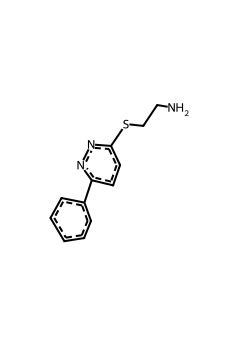 NCCSc1ccc(-c2ccccc2)nn1